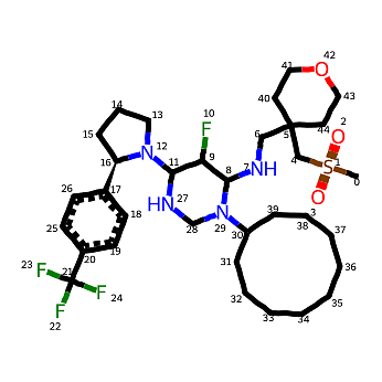 CS(=O)(=O)CC1(CNC2C(F)C(N3CCC[C@@H]3c3ccc(C(F)(F)F)cc3)NCN2C2CCCCCCCCC2)CCOCC1